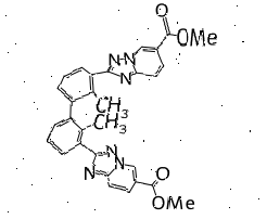 COC(=O)c1ccc2nc(-c3cccc(-c4cccc(-c5nc6ccc(C(=O)OC)cn6n5)c4C)c3C)nn2c1